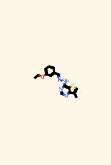 CCOc1cccc(C=NNc2ncnc3c(C)csc23)c1